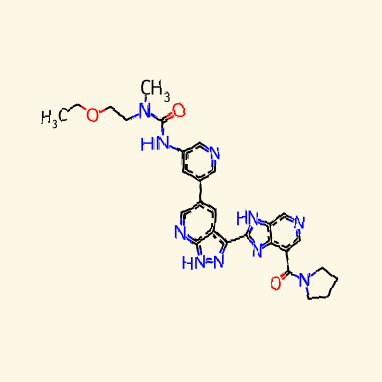 CCOCCN(C)C(=O)Nc1cncc(-c2cnc3[nH]nc(-c4nc5c(C(=O)N6CCCC6)cncc5[nH]4)c3c2)c1